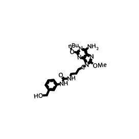 CCCCOc1nc(N)c2nc(OC)n(CCCCNC(=O)Nc3cccc(CO)c3)c2n1